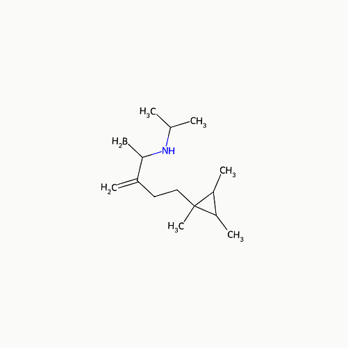 BC(NC(C)C)C(=C)CCC1(C)C(C)C1C